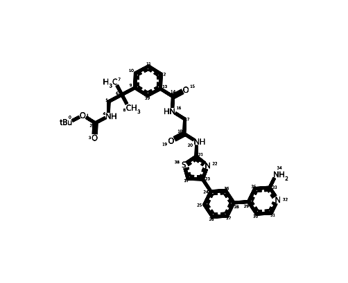 CC(C)(C)OC(=O)NCC(C)(C)c1cccc(C(=O)NCC(=O)Nc2nc(-c3cccc(-c4ccnc(N)c4)c3)cs2)c1